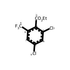 CCOC(=O)c1c(Cl)cc(Cl)cc1C(F)(F)F